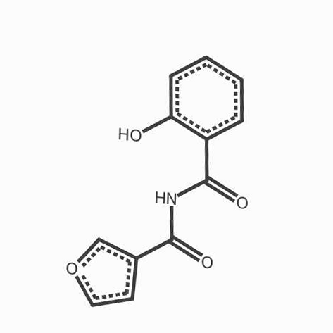 O=C(NC(=O)c1ccccc1O)c1ccoc1